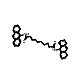 O=C(CCCCCCCCC(=O)Nc1c2ccccc2cc2ccccc12)Nc1c2ccccc2cc2ccccc12